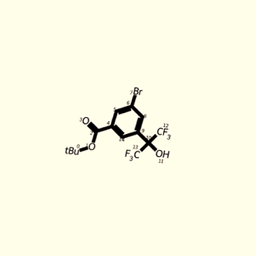 CC(C)(C)OC(=O)c1cc(Br)cc(C(O)(C(F)(F)F)C(F)(F)F)c1